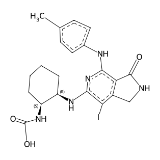 Cc1ccc(Nc2nc(N[C@@H]3CCCC[C@@H]3NC(=O)O)c(I)c3c2C(=O)NC3)cc1